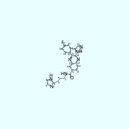 O=C(NCCCc1ncc[nH]1)c1ccc2nc(-n3ccnn3)c(-c3ccc(F)cc3)nc2c1